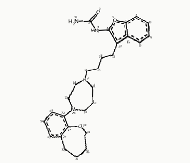 NC(=O)Nc1oc2ccccc2c1CCCCN1CCCN(c2cccc3c2OCCCC3)CC1